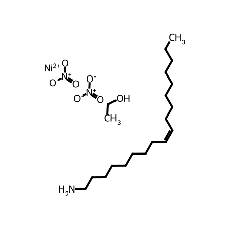 CCCCCCCC/C=C\CCCCCCCCN.CCO.O=[N+]([O-])[O-].O=[N+]([O-])[O-].[Ni+2]